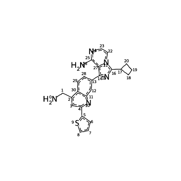 NCc1cc(-c2cccs2)nc2cc(-c3nc(C4CCC4)n4ccnc(N)c34)ccc12